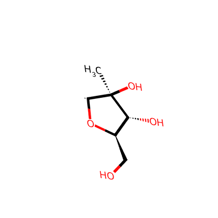 C[C@@]1(O)[CH]O[C@H](CO)[C@H]1O